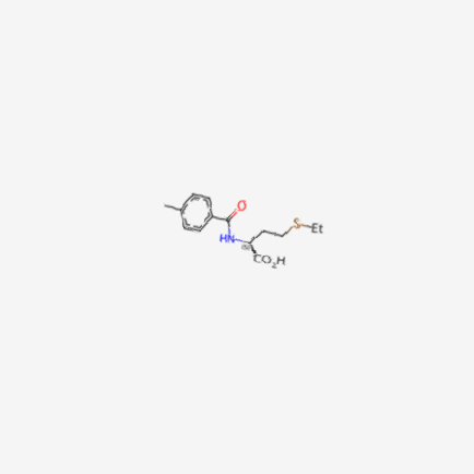 CCSCC[C@H](NC(=O)c1ccc(C)cc1)C(=O)O